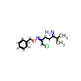 CC(C)C(N)CCC(CCl)=NOCc1ccccc1